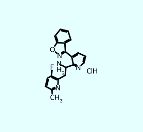 Cc1ccc(F)c(CC(N)c2ncccc2-c2noc3ccccc23)n1.Cl